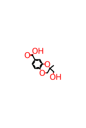 CC1(CO)COc2ccc(C(=O)O)cc2O1